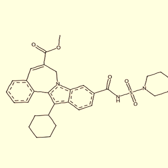 COC(=O)C1=Cc2ccccc2-c2c(C3CCCCC3)c3ccc(C(=O)NS(=O)(=O)N4CCOCC4)cc3n2C1